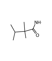 CC(C)C(C)(C)C([NH])=O